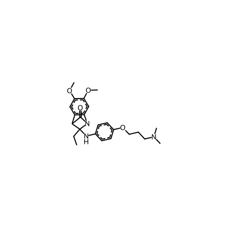 CCC1(Nc2ccc(OCCCN(C)C)cc2)C2C(=O)N1c1cc(OC)c(OC)cc12